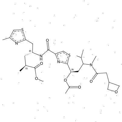 COC(=O)[C@@H](C)C[C@H](Cc1nc(C)cs1)NC(=O)c1csc([C@@H](CC(C(C)C)N(C)C(=O)CC2COC2)OC(C)=O)n1